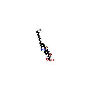 CCCCCCCCCCc1ccc(C(=O)Nc2ccc(C(=O)CCC(=O)O)cc2)cc1